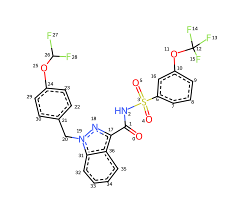 O=C(NS(=O)(=O)c1cccc(OC(F)(F)F)c1)c1nn(Cc2ccc(OC(F)F)cc2)c2ccccc12